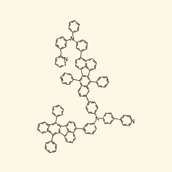 c1ccc(-c2c3c(c(-c4ccccc4)c4ccccc24)-c2ccc(-c4cccc(N(c5ccc(-c6ccncc6)cc5)c5ccc(-c6ccc7c(-c8ccccc8)c8c(c(-c9ccccc9)c7c6)-c6cccc7c(-c9cccc(N(c%10ccccc%10)c%10cccc(-c%11ccccn%11)c%10)c9)ccc-8c67)cc5)c4)c4cccc-3c24)cc1